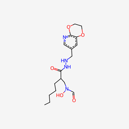 CCCCCC(CN(O)C=O)C(=O)NNCc1cnc2c(c1)OCCO2